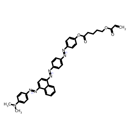 C=CC(=O)OCCCCC(=O)Oc1ccc(/N=N/c2ccc(/N=N/c3ccc(/N=N/c4ccc(N(C)C)cc4)c4ccccc34)cc2)cc1